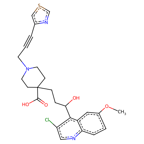 COc1ccc2ncc(Cl)c(C(O)CCC3(C(=O)O)CCN(CC#Cc4cscn4)CC3)c2c1